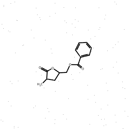 CC1CC(COC(=O)c2ccccc2)OC1=O